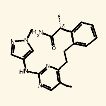 Cc1cnc(Nc2cnn(C)c2)nc1CCc1ccccc1[C@@H](C)C(N)=O